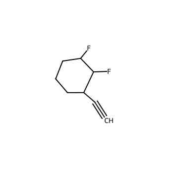 C#CC1CCCC(F)C1F